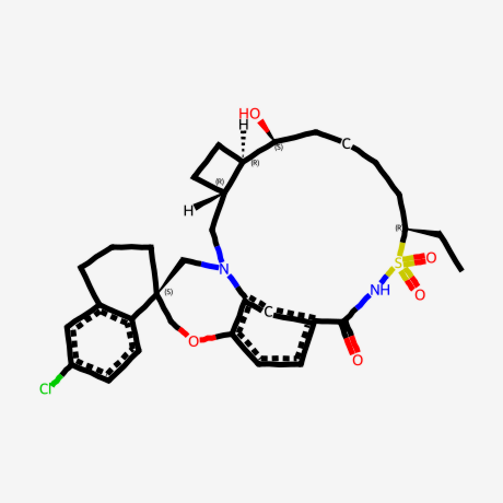 CC[C@@H]1CCCC[C@H](O)[C@@H]2CC[C@H]2CN2C[C@@]3(CCCc4cc(Cl)ccc43)COc3ccc(cc32)C(=O)NS1(=O)=O